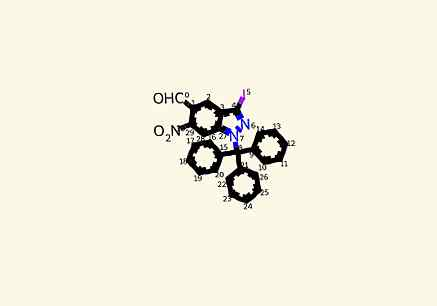 O=Cc1cc2c(I)nn(C(c3ccccc3)(c3ccccc3)c3ccccc3)c2cc1[N+](=O)[O-]